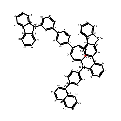 C1=CC(c2ccc(-c3cccc(-n4c5ccccc5c5ccccc54)c3)cc2)=CC=C(N(c2ccc(-c3cccc4ccccc34)cc2)c2ccccc2-c2ccc3c(c2)sc2ccccc23)C1